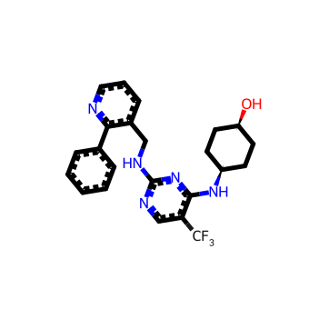 O[C@H]1CC[C@@H](Nc2nc(NCc3cccnc3-c3ccccc3)ncc2C(F)(F)F)CC1